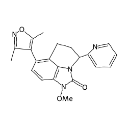 COn1c(=O)n2c3c(c(-c4c(C)noc4C)ccc31)CCC2c1ccccn1